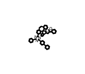 C1=Cc2ccc(-c3nc(-c4ccccc4)nc(-c4ccc(-c5ccccc5)cc4)n3)cc2C2(c3ccccc31)c1ccccc1-c1cc3c(cc12)oc1ccccc13